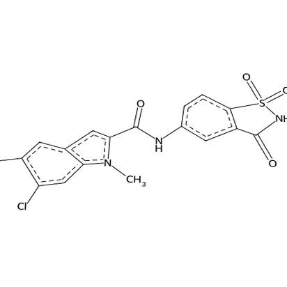 Cn1c(C(=O)Nc2ccc3c(c2)C(=O)NS3(=O)=O)cc2cc(F)c(Cl)cc21